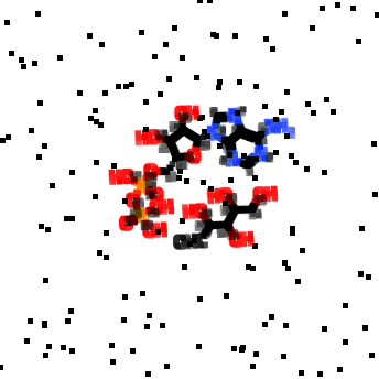 Nc1ncnc2c1ncn2[C@@H]1O[C@H](COP(=O)(O)OP(=O)(O)O)[C@@H](O)[C@H]1O.O=CC(O)C(O)C(O)CO